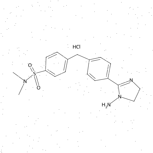 CN(C)S(=O)(=O)c1ccc(Cc2ccc(C3=NCCN3N)cc2)cc1.Cl